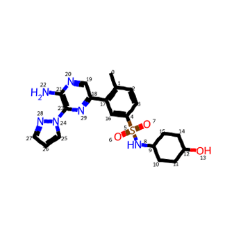 Cc1ccc(S(=O)(=O)NC2CCC(O)CC2)cc1-c1cnc(N)c(-n2cccn2)n1